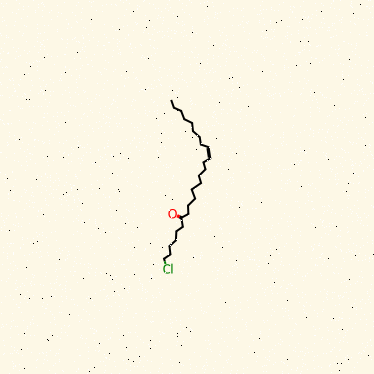 CCCCCCCC/C=C\CCCCCCCCC(=O)CCCCCCCl